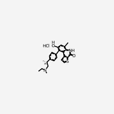 CCN(C)C[C@H](C)c1ccc(-c2c(O)cc(C)c3[nH]c(=O)c4sccc4c23)cc1.Cl